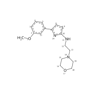 COc1cccc(-c2csc(NCCN3CCOCC3)n2)c1